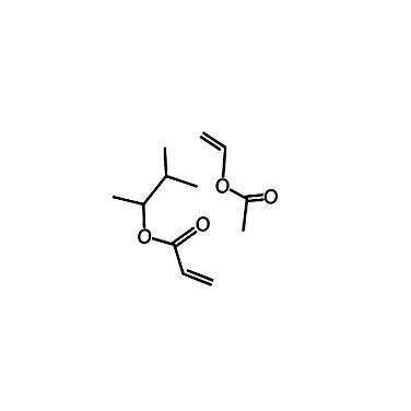 C=CC(=O)OC(C)C(C)C.C=COC(C)=O